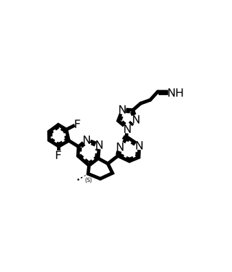 C[C@H]1CCC(c2ccnc(-n3cnc(CCC=N)n3)n2)c2nnc(-c3c(F)cccc3F)cc21